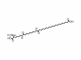 NN[C@@H](CCCCNC(=O)CCCCCCCNC(=O)CCCCCCCCCCCCCCCCCCC(=O)O)C(=O)O